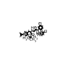 CC(C)(C)OC(=O)C(Cc1ccn(C2CC2)n1)NCC(=O)Nc1cc(Cl)ccc1N1NNC=C1Cl